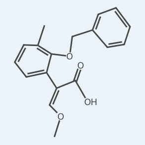 COC=C(C(=O)O)c1cccc(C)c1OCc1ccccc1